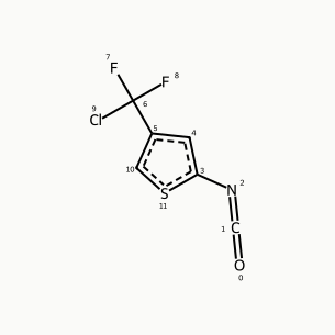 O=C=Nc1cc(C(F)(F)Cl)cs1